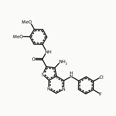 COc1ccc(NC(=O)c2sc3ncnc(Nc4ccc(F)c(Cl)c4)c3c2N)cc1OC